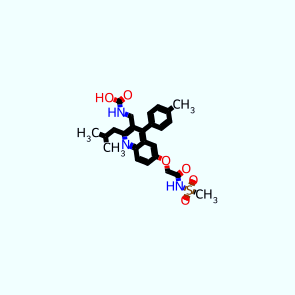 Cc1ccc(-c2c(CNC(=O)O)c(CC(C)C)nc3ccc(OCC(=O)NS(C)(=O)=O)cc23)cc1